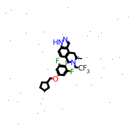 C[C@@H]1Cc2c(ccc3[nH]ncc23)[C@@H](c2c(F)cc(OCC3C[CH]CC3)cc2F)N1CC(F)(F)F